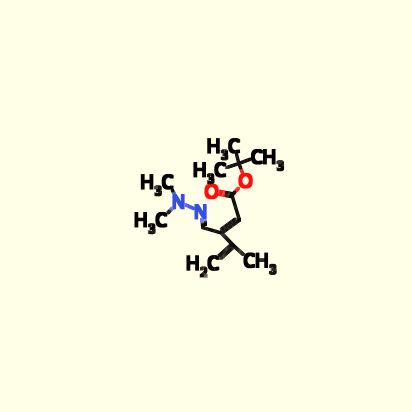 C=C(C)C(C=NN(C)C)=CC(=O)OC(C)(C)C